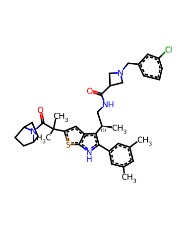 Cc1cc(C)cc(-c2[nH]c3sc(C(C)(C)C(=O)N4C5CCC4CC5)cc3c2[C@H](C)CNC(=O)C2CN(Cc3cccc(Cl)c3)C2)c1